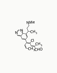 C\C=C/C(=C(Cl)\C=C(/C)C=O)c1cc(C(C)CCNC)c2ncncc2c1